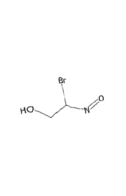 O=NC(Br)CO